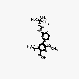 CCc1cc(-c2cccc(NCOC(C)(C)C)n2)c(OC)cc1CO